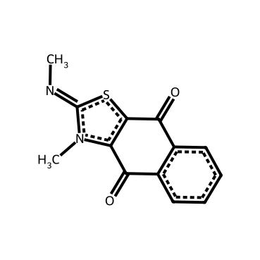 C/N=c1\sc2c(n1C)C(=O)c1ccccc1C2=O